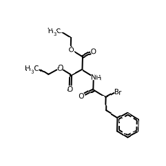 CCOC(=O)C(NC(=O)C(Br)Cc1ccccc1)C(=O)OCC